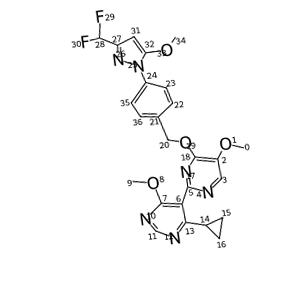 COc1cnc(-c2c(OC)ncnc2C2CC2)nc1OCc1ccc(-n2nc(C(F)F)cc2OC)cc1